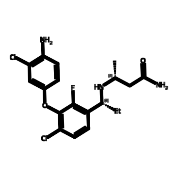 CC[C@@H](N[C@H](C)CC(N)=O)c1ccc(Cl)c(Oc2ccc(N)c(Cl)c2)c1F